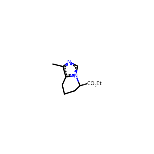 CCOC(=O)C1CCCc2c(C)ncn21